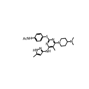 CC(=O)Nc1ccc(Sc2nc(Nc3cc(C)[nH]n3)c(C)c(N3CCC(N(C)C)CC3)n2)cc1